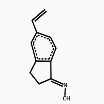 C=Cc1ccc2c(c1)CC/C2=N\O